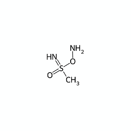 CS(=N)(=O)ON